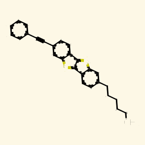 CCCCCCc1ccc2c(c1)sc1c3ccc(C#Cc4ccccc4)cc3sc21